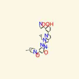 COc1cc(C(=O)N2CC3CC(C2)[C@@H](C)C3)cc2nc(-c3cc4ccc(-c5ccc(O)c(-c6ccno6)c5)nc4n3CC3CC3)n(C)c12